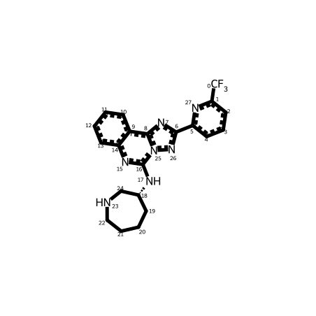 FC(F)(F)c1cccc(-c2nc3c4ccccc4nc(N[C@@H]4CCCCNC4)n3n2)n1